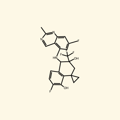 Cc1ncc2c(NC3c4ccc(F)c(O)c4C4(CC4)CC3(O)C(F)(F)F)cc(F)cc2n1